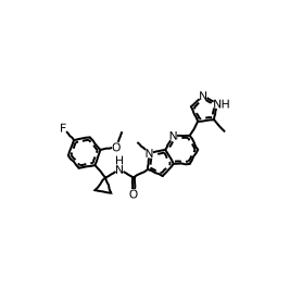 COc1cc(F)ccc1C1(NC(=O)c2cc3ccc(-c4cn[nH]c4C)nc3n2C)CC1